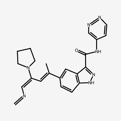 C=N/C=C(\C=C(/C)c1ccc2[nH]nc(C(=O)Nc3ccnnc3)c2c1)N1CCCC1